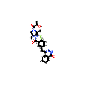 CC(=O)C(=O)N1C[C@@H]2C[C@H]1CN2C(=O)c1cc(Cc2n[nH]c(=O)c3c2CCCC3)ccc1F